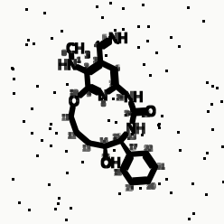 CNc1c(C=N)cc2nc1OCCC[C@H](O)[C@H](c1ccccc1)NC(=O)N2